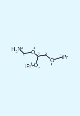 CC(C)OCC(OCN)OC(C)C